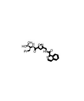 CC(C)C[C@H](NC(=O)C1CC(CNC(=O)c2nccc3ccccc23)=NO1)B(O)O